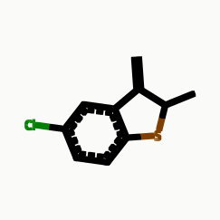 C=C1c2cc(Cl)ccc2SC1C